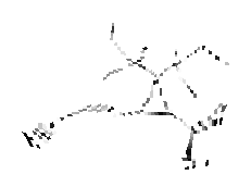 CCC(C)(C)C1(C(C)(C)CC)C(C=CC#N)C1C(=O)O